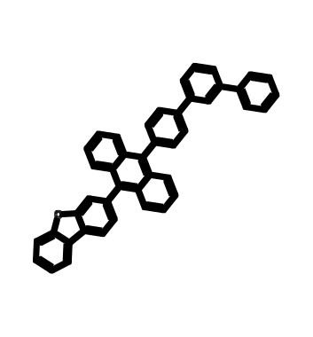 c1ccc(-c2cccc(-c3ccc(-c4c5ccccc5c(-c5ccc6c(c5)oc5ccccc56)c5ccccc45)cc3)c2)cc1